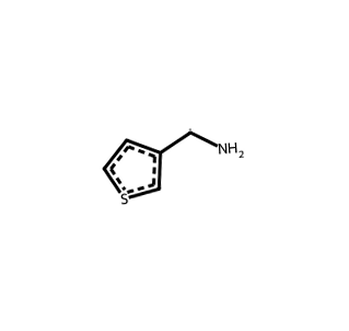 N[CH]c1ccsc1